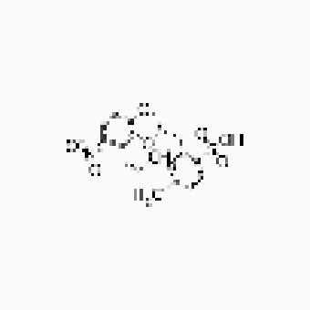 C/C=C\c1c([N+](=O)[O-])ccc2c1OC(Cc1cc(C)ccc1S(=O)(=O)O)CO2